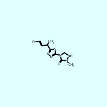 CC/C=C/C(C)c1nnc(N2CNN(C)C2=O)s1